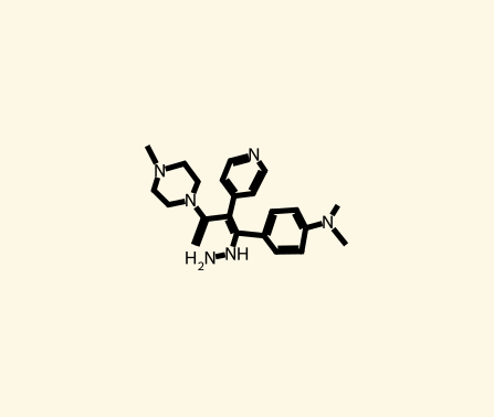 C=C(/C(=C(\NN)c1ccc(N(C)C)cc1)c1ccncc1)N1CCN(C)CC1